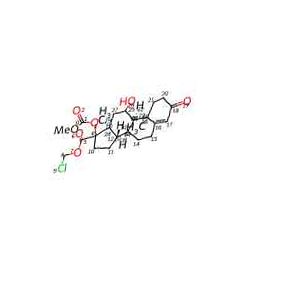 COC(=O)OC1(C(=O)OCCl)CC[C@H]2[C@@H]3CCC4=CC(=O)CC[C@]4(C)[C@@H]3C(O)C[C@@]21C